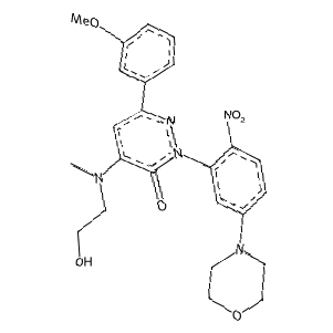 COc1cccc(-c2cc(N(C)CCO)c(=O)n(-c3cc(N4CCOCC4)ccc3[N+](=O)[O-])n2)c1